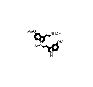 COc1ccc2[nH]cc(CCN(C(C)=O)n3cc(CCNC(C)=O)c4cc(OC)ccc43)c2c1